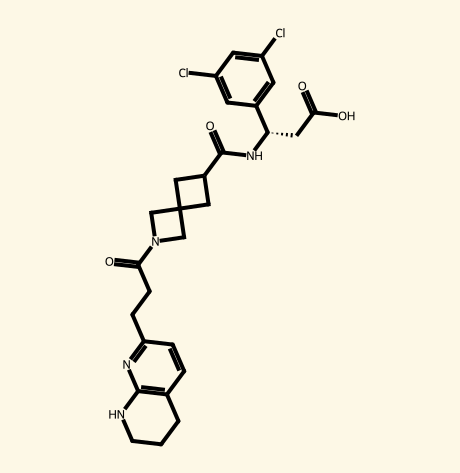 O=C(O)C[C@H](NC(=O)C1CC2(C1)CN(C(=O)CCc1ccc3c(n1)NCCC3)C2)c1cc(Cl)cc(Cl)c1